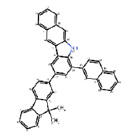 CC1(C)c2ccccc2-c2ccc(-c3cc(-c4ccc5ccccc5c4)c4[nH]c5cc6ccccc6cc5c4c3)cc21